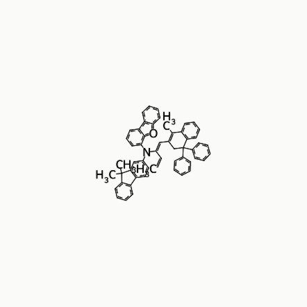 C/C=C\C(=C/C1=C(C)c2ccccc2C(c2ccccc2)(c2ccccc2)C1)N(c1ccc2c(c1)C(C)(C)c1ccccc1-2)c1cccc2c1oc1ccccc12